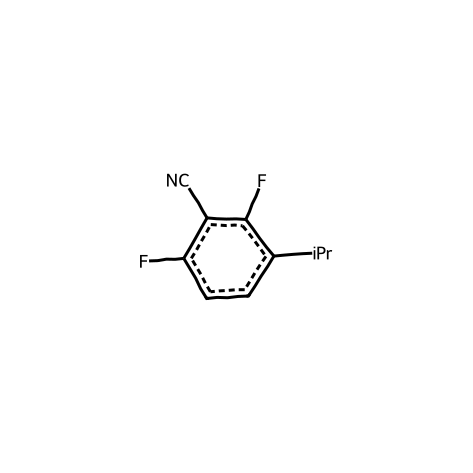 CC(C)c1ccc(F)c(C#N)c1F